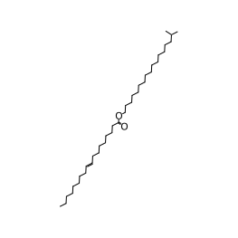 CCCCCCCC/C=C/CCCCCCCC(=O)OCCCCCCCCCCCCCCCC(C)C